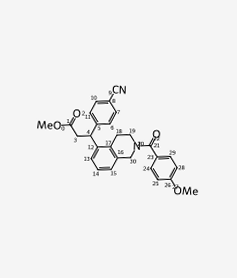 COC(=O)CC(c1ccc(C#N)cc1)c1cccc2c1CCN(C(=O)c1ccc(OC)cc1)C2